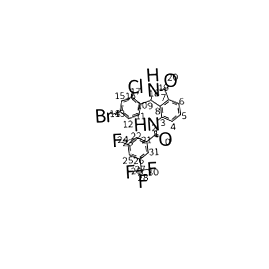 O=C(Nc1cccc2c1C(c1ccc(Br)cc1Cl)NC2=O)c1cc(F)cc(C(F)(F)F)c1